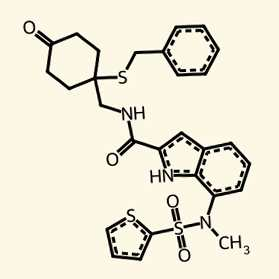 CN(c1cccc2cc(C(=O)NCC3(SCc4ccccc4)CCC(=O)CC3)[nH]c12)S(=O)(=O)c1cccs1